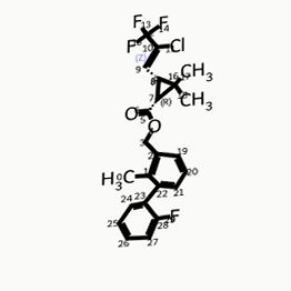 Cc1c(COC(=O)[C@@H]2[C@H](/C=C(\Cl)C(F)(F)F)C2(C)C)cccc1-c1ccccc1F